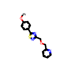 CC(C)Oc1ccc(-c2nc(COCc3ccccn3)ns2)cc1